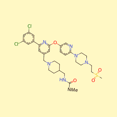 CNC(=O)NCC1CCN(Cc2cc(Oc3ccc(N4CCN(CCS(C)(=O)=O)CC4)nc3)nc(-c3cc(Cl)cc(Cl)c3)c2)CC1